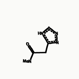 CNC(=O)Cc1nn[c][nH]1